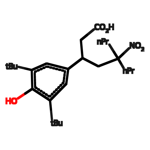 CCCC(CCC)(CC(CC(=O)O)c1cc(C(C)(C)C)c(O)c(C(C)(C)C)c1)[N+](=O)[O-]